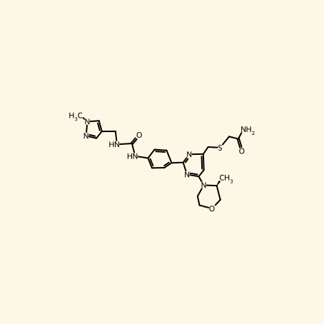 C[C@H]1COCCN1c1cc(CSCC(N)=O)nc(-c2ccc(NC(=O)NCc3cnn(C)c3)cc2)n1